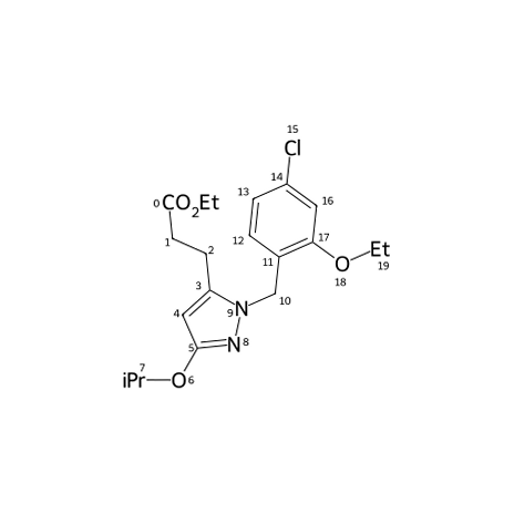 CCOC(=O)CCc1cc(OC(C)C)nn1Cc1ccc(Cl)cc1OCC